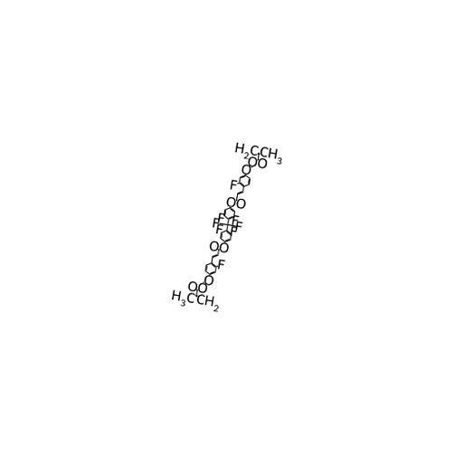 C=C(C)C(=O)OCOc1ccc(C=CC(=O)Oc2ccc(C(c3ccc(OC(=O)C=Cc4ccc(OCOC(=O)C(=C)C)cc4F)cc3)(C(F)(F)F)C(F)(F)F)cc2)c(F)c1